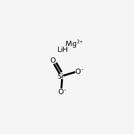 O=[Si]([O-])[O-].[LiH].[Mg+2]